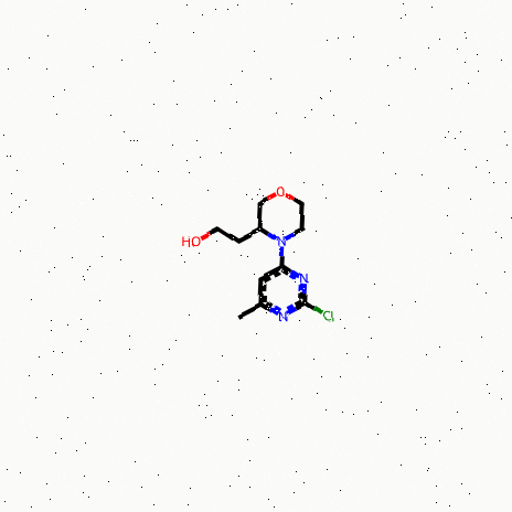 Cc1cc(N2CCOCC2CCO)nc(Cl)n1